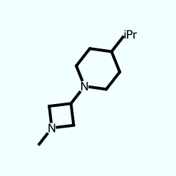 CC(C)C1CCN(C2CN(C)C2)CC1